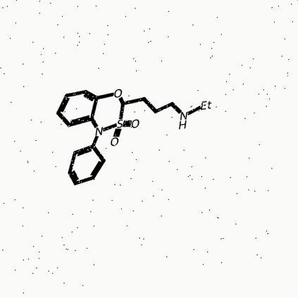 CCNCCCC1Oc2ccccc2N(c2ccccc2)S1(=O)=O